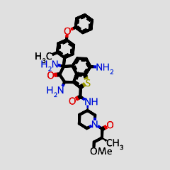 COC[C@H](C)C(=O)N1CCC[C@@H](NC(=O)c2sc3c(N)ccc4c3c2C(N)C(=O)C4(N)c2ccc(Oc3ccccc3)cc2C)C1